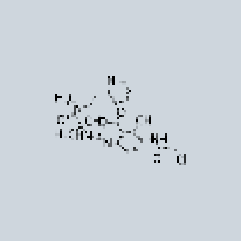 Cc1c(NC(=O)CCl)ccc2nc(NC(C)(C)C(=O)N(C)CCc3ccccn3)oc(=O)c12